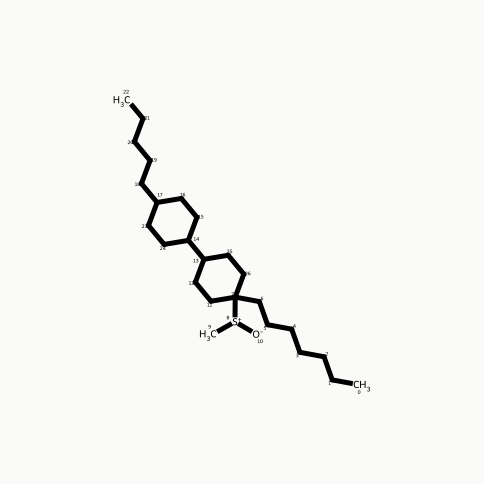 CCCCCCCC1([S+](C)[O-])CCC(C2CCC(CCCCC)CC2)CC1